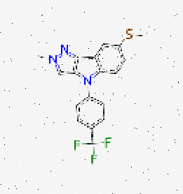 CSc1ccc2c(c1)c1nn(C)cc1n2-c1ccc(C(F)(F)F)cc1